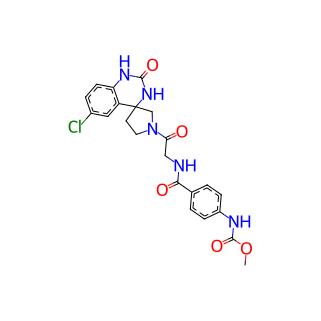 COC(=O)Nc1ccc(C(=O)NCC(=O)N2CCC3(C2)NC(=O)Nc2ccc(Cl)cc23)cc1